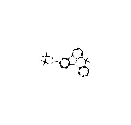 CC1(C)C2=CC=CC3c4cc(B5OC(C)(C)C(C)(C)O5)ccc4N(c4ccccc41)C23